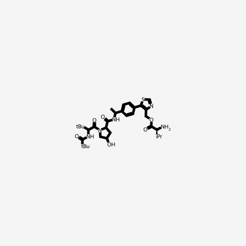 CC(NC(=O)C1CC(O)CN1C(=O)C(NC(=O)C(C)(C)C)C(C)(C)C)c1ccc(-c2scnc2COC(=O)[C@@H](N)C(C)C)cc1